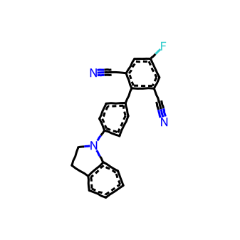 N#Cc1cc(F)cc(C#N)c1-c1ccc(N2CCc3ccccc32)cc1